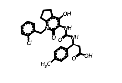 Cc1ccc([C@H](CC(=O)O)NC(=O)Nc2c(O)c3c(n(Cc4ccccc4Cl)c2=O)CCC3)cc1